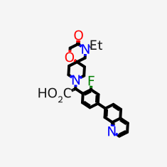 CCN1CC2(CCN(C(C(=O)O)c3ccc(-c4ccc5cccnc5c4)cc3F)CC2)OCC1=O